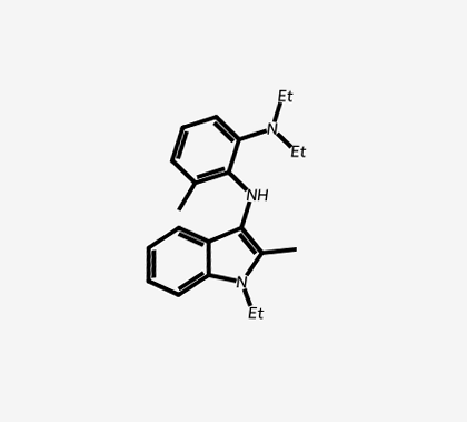 CCN(CC)c1cccc(C)c1Nc1c(C)n(CC)c2ccccc12